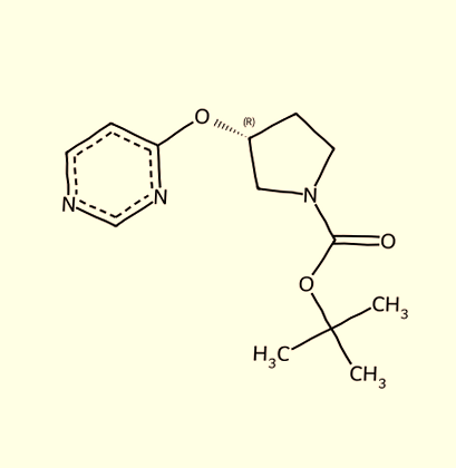 CC(C)(C)OC(=O)N1CC[C@@H](Oc2ccncn2)C1